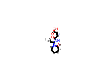 CCC(NC(=O)/C=C\C(=O)O)N1CCCCCC1=O